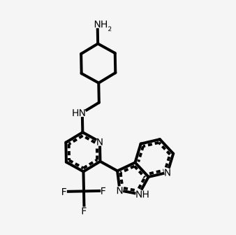 NC1CCC(CNc2ccc(C(F)(F)F)c(-c3n[nH]c4ncccc34)n2)CC1